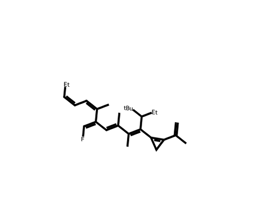 C=C(C)C1=C(/C(=C(C)/C(C)=C/C(=C\F)C(/C)=C\C=C/CC)C(CC)C(C)(C)C)C1